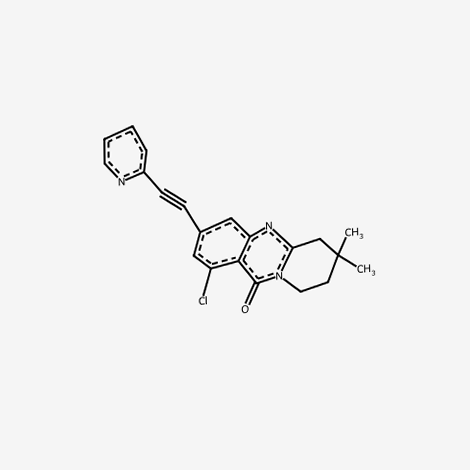 CC1(C)CCn2c(nc3cc(C#Cc4ccccn4)cc(Cl)c3c2=O)C1